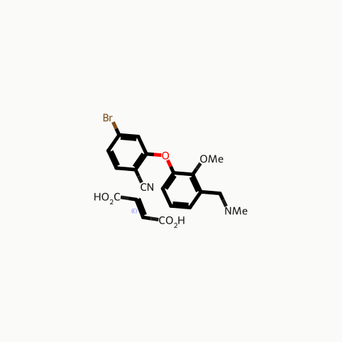 CNCc1cccc(Oc2cc(Br)ccc2C#N)c1OC.O=C(O)/C=C/C(=O)O